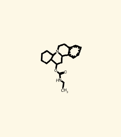 CCNC(=O)OC1CC2c3ccccc3CCN2C2CCCCC12